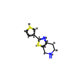 c1cc(-c2nc3c(s2)CNCC3)cs1